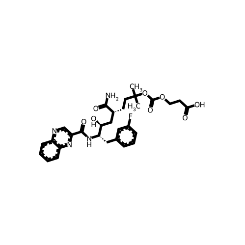 CC(C)(CC[C@H](C[C@H](O)[C@H](Cc1cccc(F)c1)NC(=O)c1cnc2ccccc2n1)C(N)=O)OC(=O)OCCC(=O)O